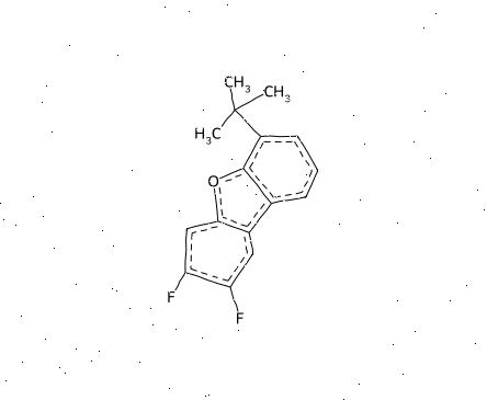 CC(C)(C)c1cccc2c1oc1cc(F)c(F)cc12